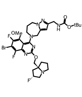 COc1c(F)c(Br)c(F)c2nc(OC[C@@]34CCCN3C[C@H](F)C4)nc(N3CCCn4nc(CNC(=O)OC(C)(C)C)cc4C3)c12